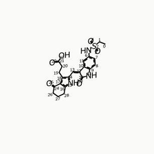 CCS(=O)(=O)Nc1ccc2c(c1)C(=Cc1[nH]c3c(c1CCC(=O)O)C(=O)CCC3)C(=O)N2